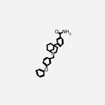 NC(=O)c1cccc(C23CCCC(C2)N(Cc2cccc(Oc4ccccc4)c2)CC3)c1